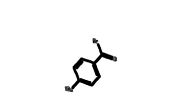 CC(C)(C)c1ccc(C(=O)Br)cc1